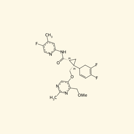 COCc1nc(C)ncc1OC[C@@]1(C2C=CC(F)=C(F)C2)C[C@H]1C(=O)Nc1cc(C)c(F)cn1